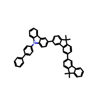 CC1(C)c2ccccc2-c2cc(-c3ccc4c(c3)-c3cc(-c5ccc6c(c5)c5ccccc5n6-c5ccc(-c6ccccc6)cc5)ccc3C4(C)C)ccc21